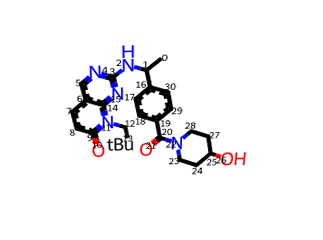 CC(Nc1ncc2ccc(=O)n(CC(C)(C)C)c2n1)c1ccc(C(=O)N2CCC(O)CC2)cc1